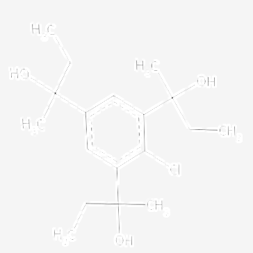 CCC(C)(O)c1cc(C(C)(O)CC)c(Cl)c(C(C)(O)CC)c1